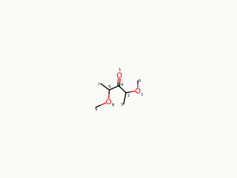 COC(C)C(=O)C(C)OC